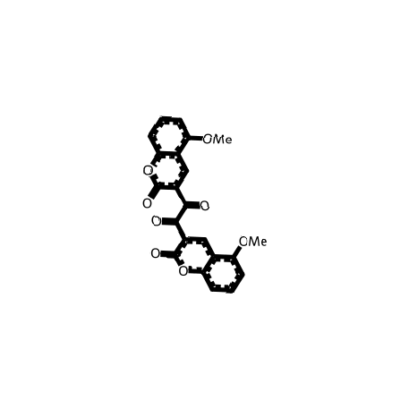 COc1cccc2oc(=O)c(C(=O)C(=O)c3cc4c(OC)cccc4oc3=O)cc12